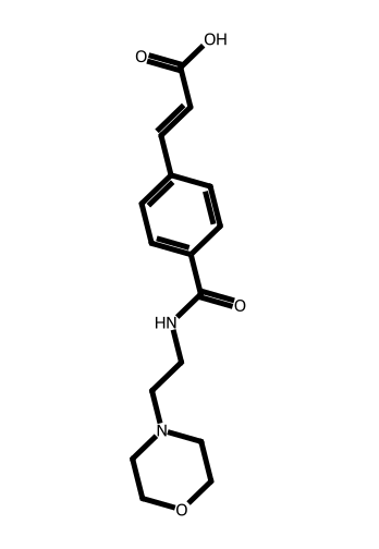 O=C(O)/C=C/c1ccc(C(=O)NCCN2CCOCC2)cc1